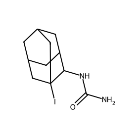 NC(=O)NC1C2CC3CC(C2)CC1(I)C3